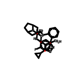 O=C(O)c1ccc(F)c(NC(=O)N2C3CCC2CC(OCc2c(-c4ccccc4OC(F)(F)F)noc2C2CC2)C3)c1